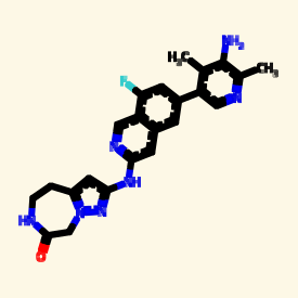 Cc1ncc(-c2cc(F)c3cnc(Nc4cc5n(n4)CC(=O)NCC5)cc3c2)c(C)c1N